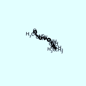 C[C@@H]1COCCN1CCOc1ccc2c(n1)sc1nc(-c3ccc(NC(=O)Nc4cc(C(C)(C)C)on4)cc3)cn12